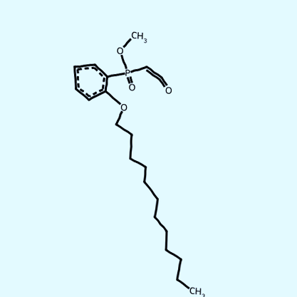 CCCCCCCCCCCCOc1ccccc1P(=O)(C=C=O)OC